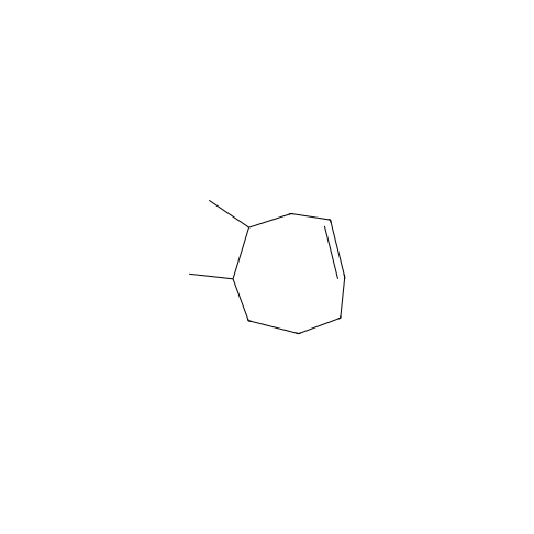 CC1C/C=C\CCCC1C